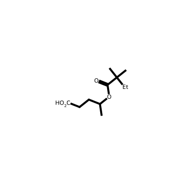 CCC(C)(C)C(=O)OC(C)CCC(=O)O